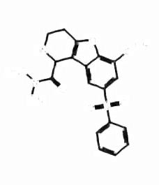 CN(C)C(=O)C1NCCc2oc3c(Cl)cc(S(=O)(=O)c4ccccc4)cc3c21.Cl